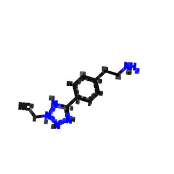 N#CCn1nnc(-c2ccc(CCN)cc2)n1